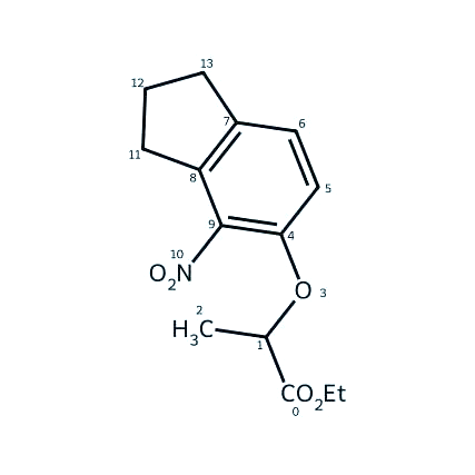 CCOC(=O)C(C)Oc1ccc2c(c1[N+](=O)[O-])CCC2